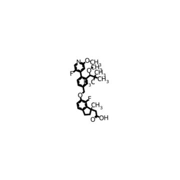 COc1cc(-c2ccc(COc3ccc4c(c3F)[C@](C)(CC(=O)O)CC4)cc2[C@@H](OC)C(C)(C)C)c(F)cn1